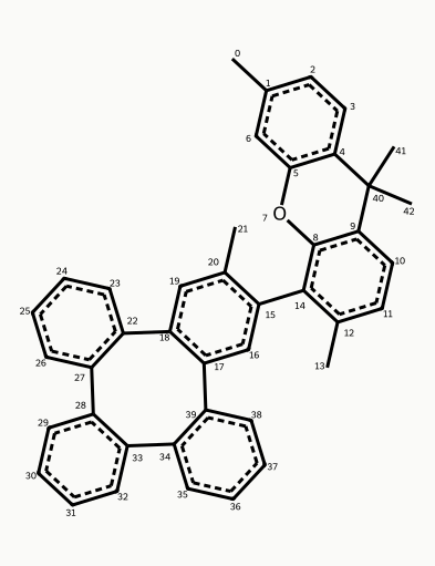 Cc1ccc2c(c1)Oc1c(ccc(C)c1-c1cc3c(cc1C)-c1ccccc1-c1ccccc1-c1ccccc1-3)C2(C)C